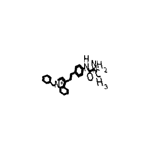 C[C@H](N)C(=O)Nc1ccc(C=Cc2cc[n+](Cc3ccccc3)c3ccccc23)cc1